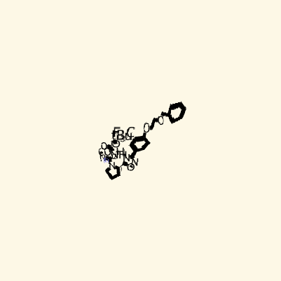 CC(C)(C)OC(=O)N/C(=N\C(=O)O)N1CCC[C@H]1c1nc(-c2ccc(OCCOCc3ccccc3)c(C(F)(F)F)c2)no1